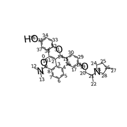 CC1=C(c2ccccc2C(=O)N(C)C)C(c2ccc(OCC(C)N3CCC(C)C3)cc2)Oc2ccc(O)cc21